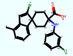 Cc1cccc2c1C=C(Br)C21CCC(Nc2cccc(Cl)c2)(C(=O)O)CC1